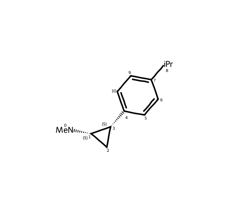 CN[C@H]1C[C@H]1c1ccc(C(C)C)cc1